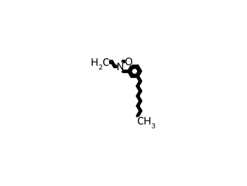 C=CCN1COc2ccc(CCCCCCCCC)cc2C1